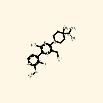 COc1nccc(-c2nc(CO)c(N3CCC(C)([C@@H](C)N)CC3)nc2C)c1Cl